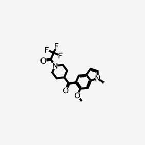 COc1cc2c(ccn2C)cc1C(=O)C1CCN(C(=O)C(F)(F)F)CC1